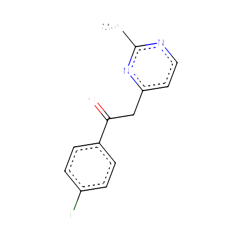 CSc1nccc(CC(=O)c2ccc(F)cc2)n1